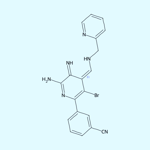 N#Cc1cccc(C2=C(Br)/C(=C/NCc3ccccn3)C(=N)C(N)=N2)c1